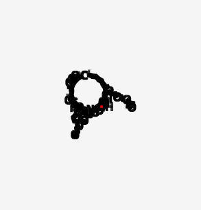 COCCO[C@@H]1CC[C@@H](CC2[C@H]3CCCN4C(=O)C(=O)[C@]5(O)O[C@@H](CC[C@H]5C)C[C@H](OCCOCCOC5COC5)/C(C)=C/C=C/C=C/[C@@H](C)C[C@@H](C)C(=O)[C@H](OC)[C@H](OC)/C(C)=C/[C@@H](C)C(=O)C[C@@H]2OC(=O)C34)C[C@H]1OC